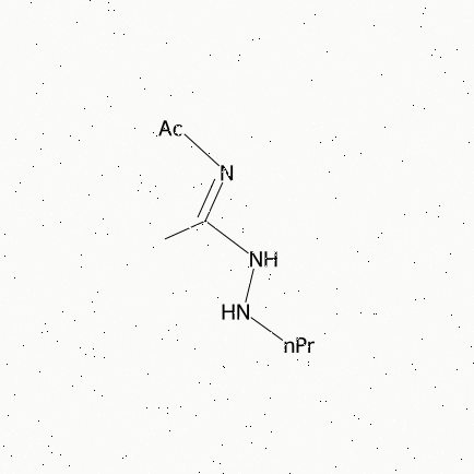 CCCNN/C(C)=N/C(C)=O